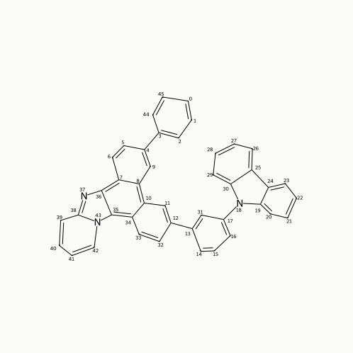 c1ccc(-c2ccc3c(c2)c2cc(-c4cccc(-n5c6ccccc6c6ccccc65)c4)ccc2c2c3nc3ccccn32)cc1